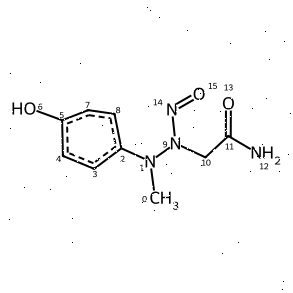 CN(c1ccc(O)cc1)N(CC(N)=O)N=O